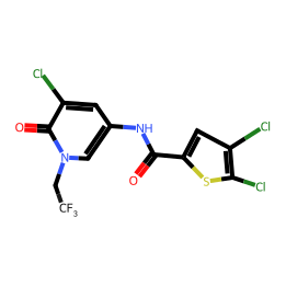 O=C(Nc1cc(Cl)c(=O)n(CC(F)(F)F)c1)c1cc(Cl)c(Cl)s1